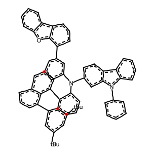 CC(C)(C)c1cc(-c2cccc3cccc(-c4ccccc4N(c4cccc(-c5cccc6c5oc5ccccc56)c4)c4ccc5c6ccccc6n(-c6ccccc6)c5c4)c23)cc(C(C)(C)C)c1